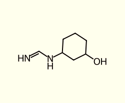 N=CNC1CCCC(O)C1